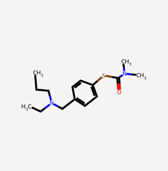 CCCN(CC)Cc1ccc(SC(=O)N(C)C)cc1